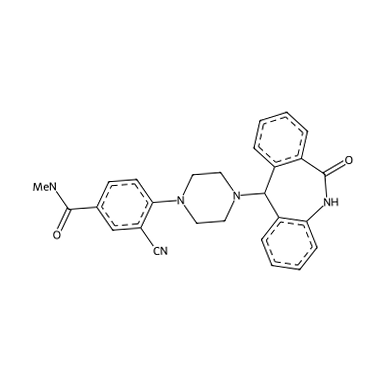 CNC(=O)c1ccc(N2CCN(C3c4ccccc4NC(=O)c4ccccc43)CC2)c(C#N)c1